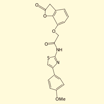 COc1ccc(-c2csc(NC(=O)COc3cccc4c3OC(=O)C4)n2)cc1